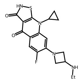 CCNC1CN(c2cc3c(cc2F)c(=O)c2c(=O)[nH]sc2n3C2CC2)C1